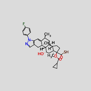 C[C@H]1C[C@@H]2[C@H]([C@@H](O)C[C@@]3(C)[C@H]2CC[C@]3(OC(=O)C2CC2)C(=O)S)[C@@]2(C)Cc3cnn(-c4ccc(F)cc4)c3C=C12